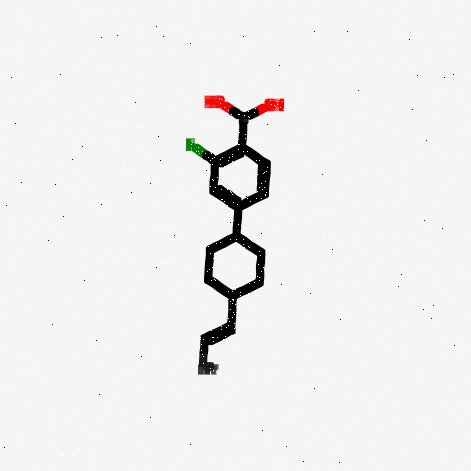 CCC/C=C/C1CCC(c2ccc(B(O)O)c(F)c2)CC1